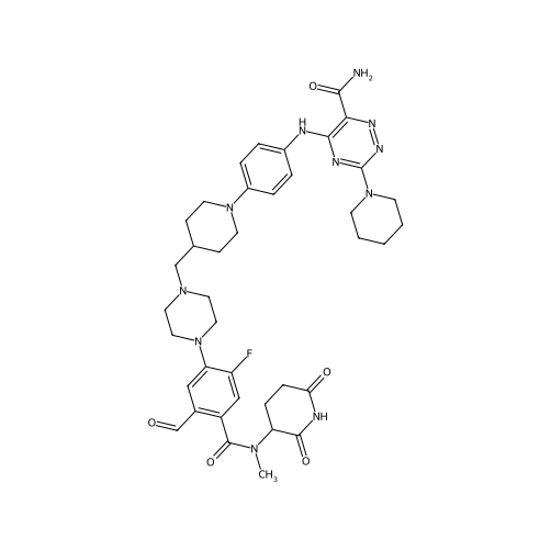 CN(C(=O)c1cc(F)c(N2CCN(CC3CCN(c4ccc(Nc5nc(N6CCCCC6)nnc5C(N)=O)cc4)CC3)CC2)cc1C=O)C1CCC(=O)NC1=O